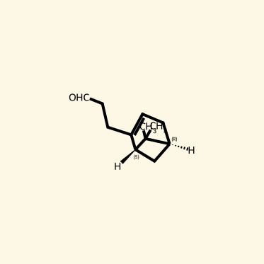 CC1(C)[C@H]2CC=C(CCC=O)[C@H]1C2